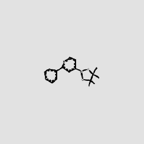 CC1(C)ON(c2ccnc(-c3ccccc3)c2)OC1(C)C